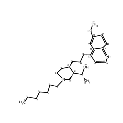 CCCCCCCN1CC[C@@H](CCCc2ccnc3ccc(OC)cc23)[C@@H]([C@@H](C)O)C1